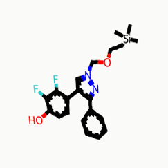 C[Si](C)(C)CCOCn1cc(-c2ccc(O)c(F)c2F)c(-c2ccccc2)n1